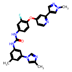 Cc1cc(NC(=O)Nc2ccc(Oc3ccnc(-c4cnn(C)c4)c3)c(F)c2)cc(-n2cnc(C)c2)c1